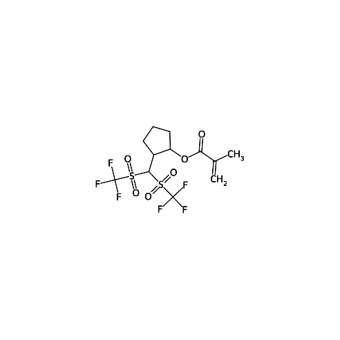 C=C(C)C(=O)OC1CCCC1C(S(=O)(=O)C(F)(F)F)S(=O)(=O)C(F)(F)F